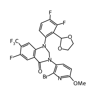 COc1ccc(N2CN(c3ccc(F)c(F)c3C3OCCO3)c3cc(C(F)(F)F)c(F)cc3C2=O)c(Br)n1